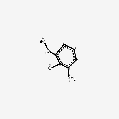 CC(C)Oc1cccc(N)c1Cl